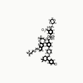 CC1(C)CCC(CN2CCN(c3ccc(C(=O)NS(=O)(=O)c4ccc(NC[C@H]5COCCO5)c([N+](=O)[O-])c4)c(N4CCC(F)(F)Oc5nc6c(ccn6COCC[Si](C)(C)C)cc54)c3)CC2)=C(c2ccc(Cl)cc2)C1